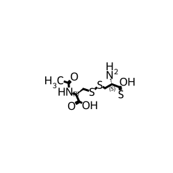 CC(=O)N[C@@H](CSSC[C@H](N)C(O)=S)C(=O)O